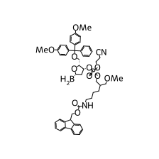 B[C@H]1C[C@@H](OP(=O)(OCCC#N)OCC(CCCCNC(=O)OCC2c3ccccc3-c3ccccc32)COC)[C@@H](COC(c2ccccc2)(c2ccc(OC)cc2)c2ccc(OC)cc2)O1